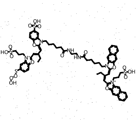 CCC(=Cc1oc2ccc(SOOO)cc2[n+]1CCCS(=O)(=O)O)C=C1Oc2ccc(S(=O)(=O)O)cc2N1CCCCCC(=O)NCCNC(=O)CCCCCN1C(=CC(=Cc2oc3cc4ccccc4cc3[n+]2CCCS(=O)(=O)O)CC)Oc2cc3ccccc3cc21